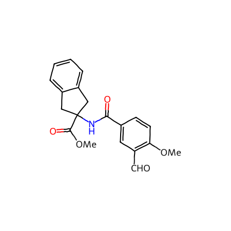 COC(=O)C1(NC(=O)c2ccc(OC)c(C=O)c2)Cc2ccccc2C1